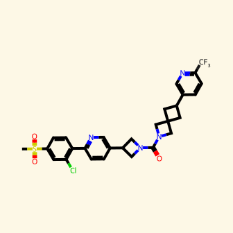 CS(=O)(=O)c1ccc(-c2ccc(C3CN(C(=O)N4CC5(CC(c6ccc(C(F)(F)F)nc6)C5)C4)C3)cn2)c(Cl)c1